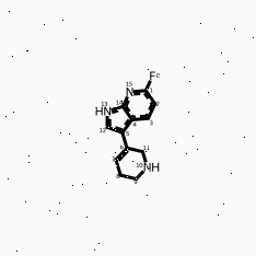 Fc1ccc2c(C3=CCCNC3)c[nH]c2n1